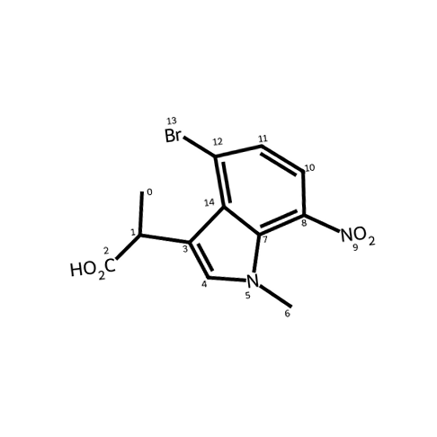 CC(C(=O)O)c1cn(C)c2c([N+](=O)[O-])ccc(Br)c12